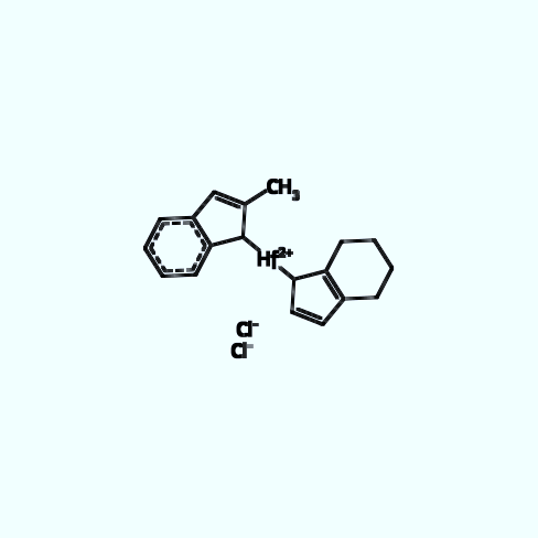 CC1=Cc2ccccc2[CH]1[Hf+2][CH]1C=CC2=C1CCCC2.[Cl-].[Cl-]